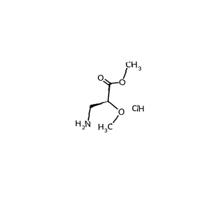 COC(=O)[C@H](CN)OC.Cl